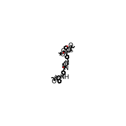 CCC(=O)N1c2ccccc2[C@H](N(C(=O)OC(C)(C)C)c2ccc(CN3CCn4cc(-c5ccc(N[C@@H]6C[C@H](C)N(C(=O)CC)c7ccccc76)cc5)nc4C3)cc2)C[C@@H]1C